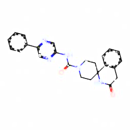 O=C1Cc2ccccc2C2(CCN(C(=O)Nc3cnc(-c4ccccc4)cn3)CC2)N1